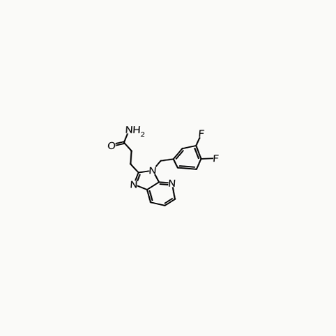 NC(=O)CCc1nc2cccnc2n1Cc1ccc(F)c(F)c1